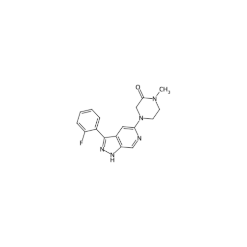 CN1CCN(c2cc3c(-c4ccccc4F)n[nH]c3cn2)CC1=O